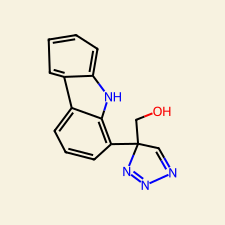 OCC1(c2cccc3c2[nH]c2ccccc23)C=NN=N1